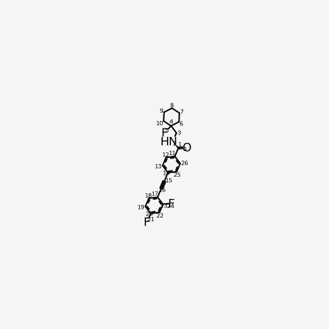 O=C(NCC1(F)CCCCC1)c1ccc(C#Cc2ccc(F)cc2F)cc1